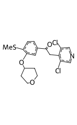 CSc1ccc(C(=O)Cc2c(Cl)cncc2Cl)cc1OC1CCOCC1